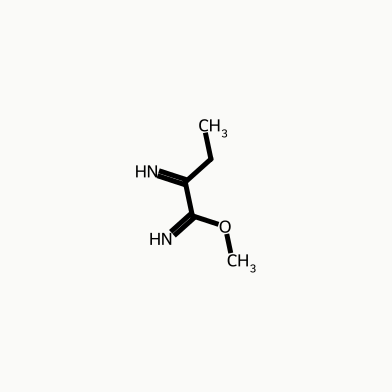 CCC(=N)C(=N)OC